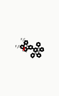 FC(F)(F)c1cc(-c2cc(C(F)(F)F)ccc2-n2c3ccccc3c3cc(-c4cc5c6c(c4)N(c4ccccc4)c4ccccc4B6c4ccccc4N5c4ccccc4)ccc32)cc(C(F)(F)F)c1